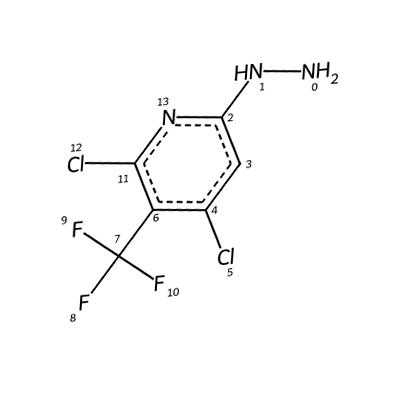 NNc1cc(Cl)c(C(F)(F)F)c(Cl)n1